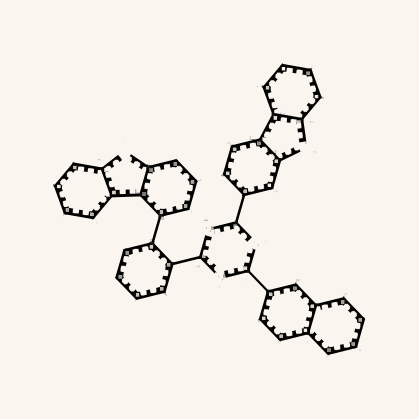 c1ccc(-c2cccc3oc4ccccc4c23)c(-c2nc(-c3ccc4ccccc4c3)nc(-c3ccc4c(c3)oc3ccccc34)n2)c1